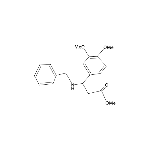 COC(=O)CC(NCc1ccccc1)c1ccc(OC)c(OC)c1